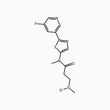 CN(C(=O)CC[S+](C)[O-])c1cnc(-c2cncc(F)c2)s1